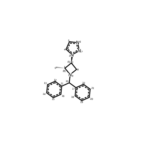 C[C@@H]1[C@@H](n2ccnn2)CN1C(c1ccccc1)c1ccccc1